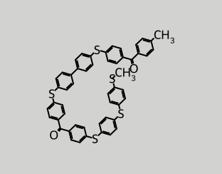 CSc1ccc(Sc2ccc(Sc3ccc(C(=O)c4ccc(Sc5ccc(-c6ccc(Sc7ccc(C(=O)c8ccc(C)cc8)cc7)cc6)cc5)cc4)cc3)cc2)cc1